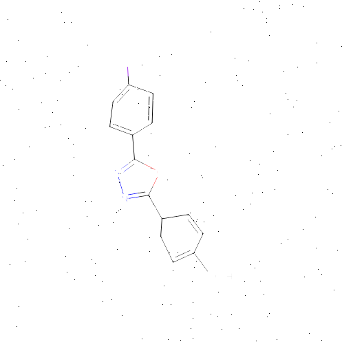 O=C(O)C1=CCC(c2nnc(-c3ccc(I)cc3)o2)C=C1